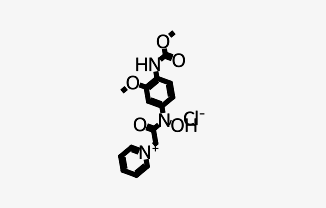 COC(=O)Nc1ccc(N(O)C(=O)C[n+]2ccccc2)cc1OC.[Cl-]